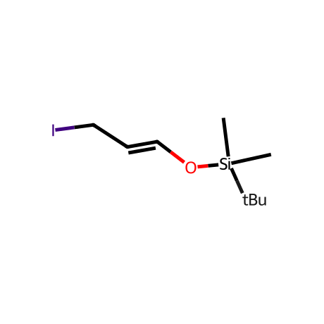 CC(C)(C)[Si](C)(C)OC=CCI